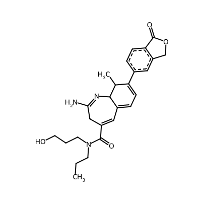 CCCN(CCCO)C(=O)C1=CC2=CC=C(c3ccc4c(c3)COC4=O)C(C)C2N=C(N)C1